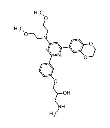 CNCC(O)COc1cccc(-c2nc(-c3ccc4c(c3)OCCO4)cc(N(CCOC)CCOC)n2)c1